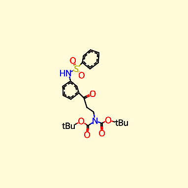 CC(C)(C)OC(=O)N(CCC(=O)c1cccc(NS(=O)(=O)c2ccccc2)c1)C(=O)OC(C)(C)C